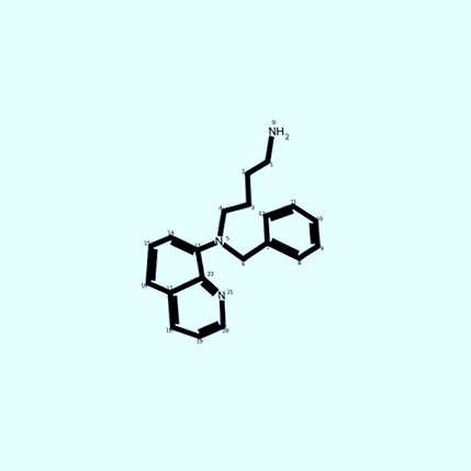 NCCCCN(Cc1ccccc1)c1cccc2cccnc12